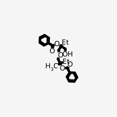 CCC(C)(COCC(CC)(CO)OC(=O)c1ccccc1)OC(=O)c1ccccc1